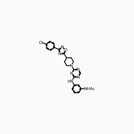 CC(=O)Nc1cccc(Nc2ncnc(N3CCC(c4nc(-c5ccc(Cl)cc5)no4)CC3)n2)c1